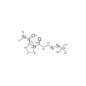 CN(C)C(=O)[C@@H]1CCCN1C(=O)CCSSC(C)(C)C